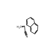 C=CC#N.c1ccc2ccccc2c1